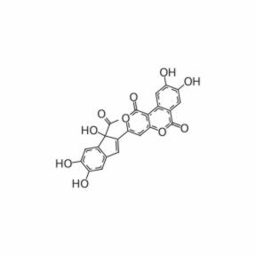 CC(=O)C1(O)C(c2cc3oc(=O)c4cc(O)c(O)cc4c3c(=O)o2)=Cc2cc(O)c(O)cc21